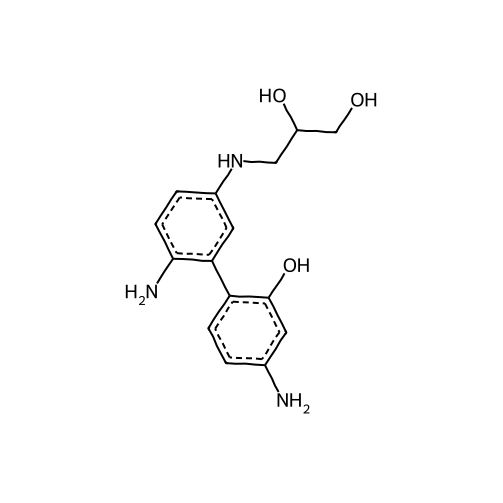 Nc1ccc(-c2cc(NCC(O)CO)ccc2N)c(O)c1